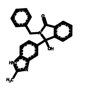 Cc1nc2cc(C3(O)c4ccccc4C(=O)N3Cc3ccccc3)ccc2[nH]1